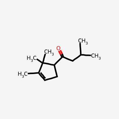 CC1=CCC(C(=O)CC(C)C)C1(C)C